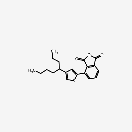 CCCCC(CCC)c1csc(-c2cccc3c2C(=O)OC3=O)c1